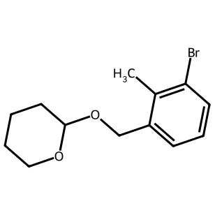 Cc1c(Br)cccc1COC1CCCCO1